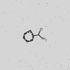 PC(Cl)c1ccccc1